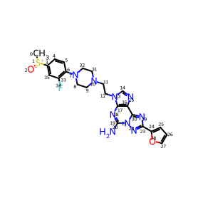 C[S+]([O-])c1ccc(N2CCN(CCn3cnc4c3nc(N)n3nc(-c5ccco5)nc43)CC2)c(F)c1